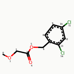 COCC(=O)OCc1ccc(Cl)cc1Cl